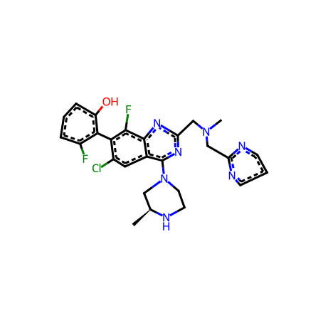 C[C@H]1CN(c2nc(CN(C)Cc3ncccn3)nc3c(F)c(-c4c(O)cccc4F)c(Cl)cc23)CCN1